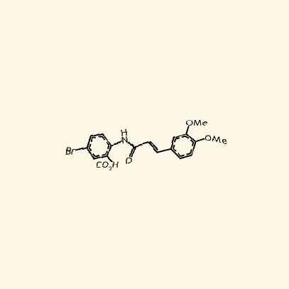 COc1ccc(C=CC(=O)Nc2ccc(Br)cc2C(=O)O)cc1OC